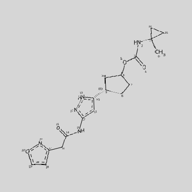 CC1(NC(=O)OC2CC[C@H](c3cc(NC(=O)Cc4ccon4)n[nH]3)C2)CC1